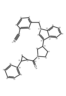 N#Cc1cccc(Cn2cc(C3CCN(C(=O)C4CC4c4ccccc4)C3)c3ccccc32)c1